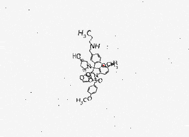 CCCNCc1ccc(OC)c(C2(N3C[C@H](O)C[C@H]3c3ncco3)C(=O)N(S(=O)(=O)c3ccc(OC)cc3)c3ccc(C#N)cc32)c1